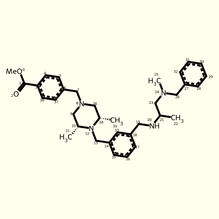 COC(=O)c1ccc(CN2C[C@@H](C)N(Cc3cccc(CNC(C)CN(C)Cc4ccccc4)c3)[C@@H](C)C2)cc1